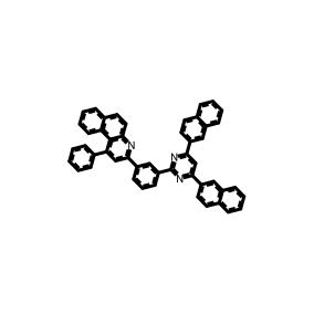 c1ccc(-c2cc(-c3cccc(-c4nc(-c5ccc6ccccc6c5)cc(-c5ccc6ccccc6c5)n4)c3)nc3ccc4ccccc4c23)cc1